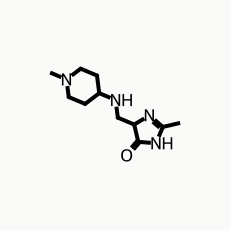 CC1=NC(CNC2CCN(C)CC2)C(=O)N1